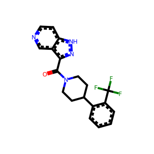 O=C(c1n[nH]c2ccncc12)N1CCC(c2ccccc2C(F)(F)F)CC1